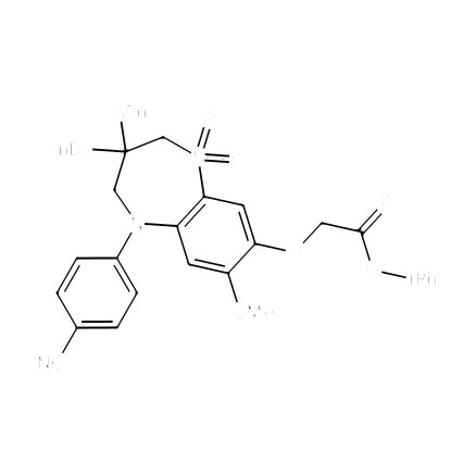 CCCCC1(CCCC)CN(c2ccc(C#N)cc2)c2cc(SC)c(OCC(=O)OC(C)(C)C)cc2S(=O)(=O)C1